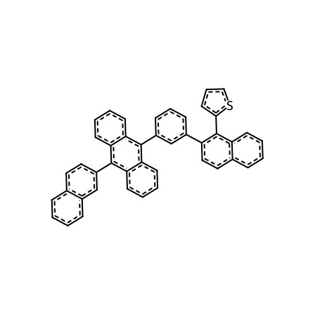 c1cc(-c2ccc3ccccc3c2-c2cccs2)cc(-c2c3ccccc3c(-c3ccc4ccccc4c3)c3ccccc23)c1